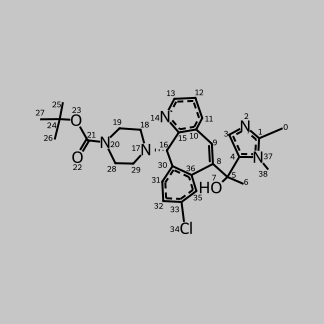 Cc1ncc(C(C)(O)C2=Cc3cccnc3[C@@H](N3CCN(C(=O)OC(C)(C)C)CC3)c3ccc(Cl)cc32)n1C